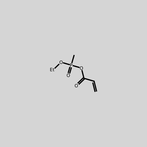 C=CC(=O)OP(C)(=O)OCC